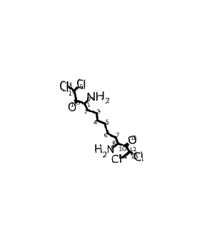 NC(CCCCCCC(N)C(=O)C(Cl)Cl)C(=O)C(Cl)Cl